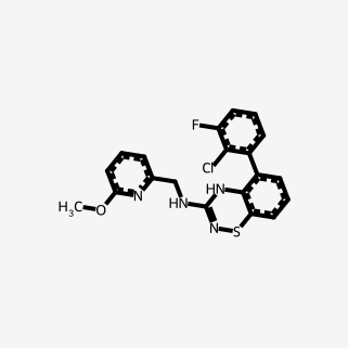 COc1cccc(CNC2=NSc3cccc(-c4cccc(F)c4Cl)c3N2)n1